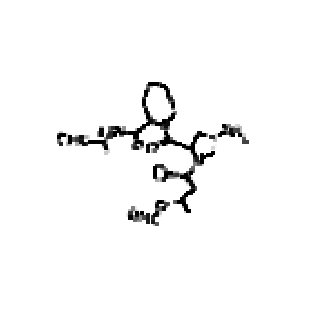 CC(C=O)NC(=O)C1CCCCN1C(=O)C1CC(N)CN1C(=O)CC(C)OC=O